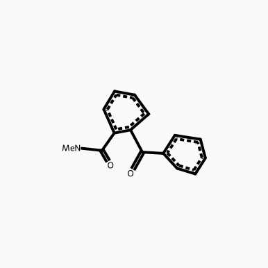 CNC(=O)c1ccccc1C(=O)c1ccccc1